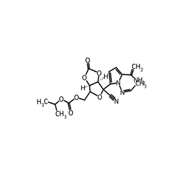 C=C(N)c1ccc(C2(C#N)OC(COC(=O)OC(C)C)[C@H]3OC(=O)O[C@H]32)n1/N=C\C